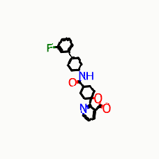 O=C1OC2(CCC(C(=O)N[C@H]3CC[C@H](c4cccc(F)c4)CC3)CC2)c2ncccc21